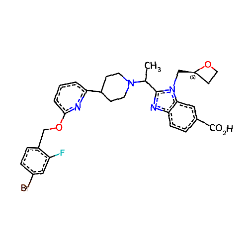 CC(c1nc2ccc(C(=O)O)cc2n1C[C@@H]1CCO1)N1CCC(c2cccc(OCc3ccc(Br)cc3F)n2)CC1